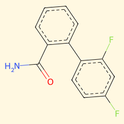 NC(=O)c1ccccc1-c1ccc(F)cc1F